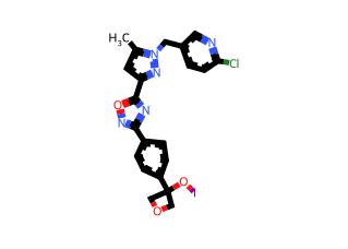 Cc1cc(-c2nc(-c3ccc(C4(OI)COC4)cc3)no2)nn1Cc1ccc(Cl)nc1